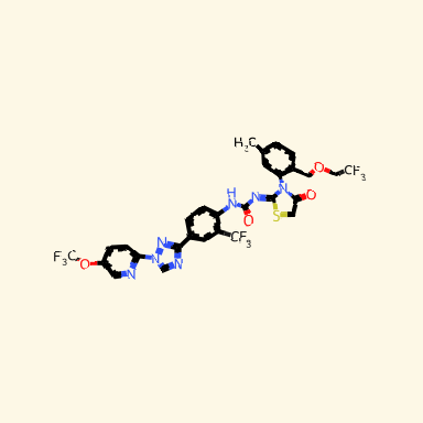 Cc1ccc(COCC(F)(F)F)c(N2C(=O)CS/C2=N\C(=O)Nc2ccc(-c3ncn(-c4ccc(OC(F)(F)F)cn4)n3)cc2C(F)(F)F)c1